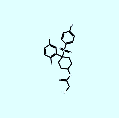 CCC(=O)OC1CCC(c2cc(F)ccc2F)(S(=O)(=O)c2ccc(Cl)cc2)CC1